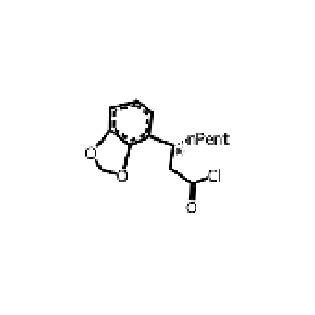 CCCCC[C@H](CC(=O)Cl)c1cccc2c1OCO2